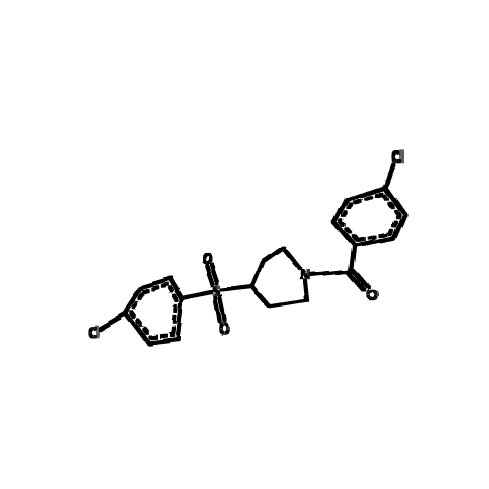 O=C(c1ccc(Cl)cc1)N1CCC(S(=O)(=O)c2ccc(Cl)cc2)CC1